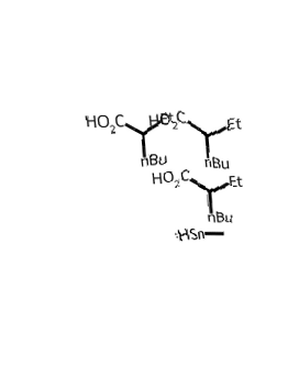 CCCCC(CC)C(=O)O.CCCCC(CC)C(=O)O.CCCCC(CC)C(=O)O.[CH3][SnH]